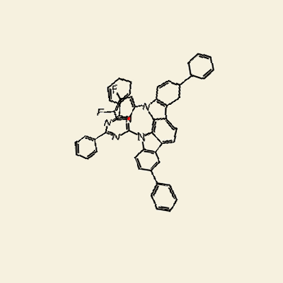 Fc1ccc(-n2c3c(c4ccc5c6cc(-c7ccccc7)ccc6n(-c6nc(C7=CCCC=C7)nc(-c7ccccc7)n6)c5c42)CC(C2C=CC=CC2)C=C3)cc1F